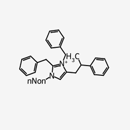 CCCCCCCCCn1cc(CC(C)c2ccccc2)[n+](Cc2ccccc2)c1Cc1ccccc1